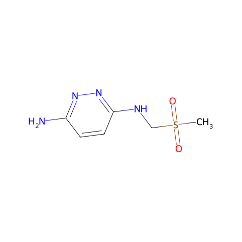 CS(=O)(=O)CNc1ccc(N)nn1